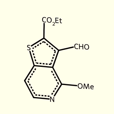 CCOC(=O)c1sc2ccnc(OC)c2c1C=O